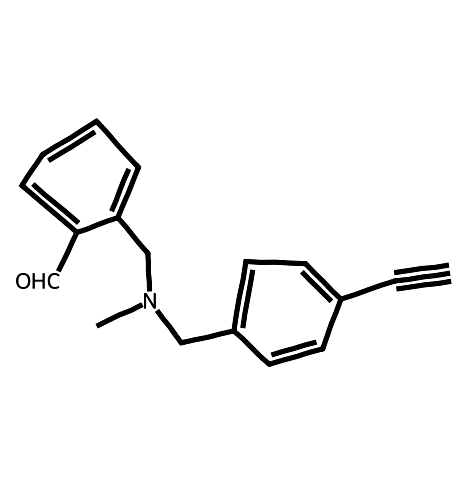 C#Cc1ccc(CN(C)Cc2ccccc2C=O)cc1